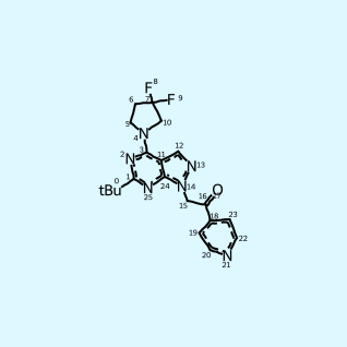 CC(C)(C)c1nc(N2CCC(F)(F)C2)c2cnn(CC(=O)c3ccncc3)c2n1